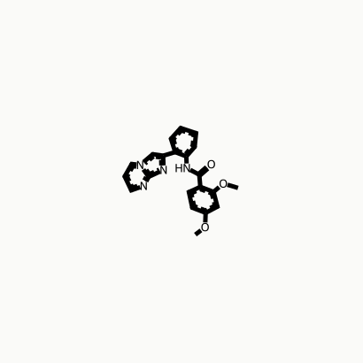 COc1ccc(C(=O)Nc2ccccc2-c2cn3cccnc3n2)c(OC)c1